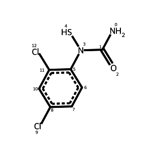 NC(=O)N(S)c1ccc(Cl)cc1Cl